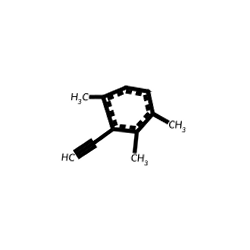 C#Cc1c(C)c[c]c(C)c1C